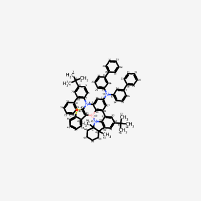 CC(C)(C)c1ccc(N2c3cc(N(c4cccc(-c5ccccc5)c4)c4cccc(-c5ccccc5)c4)cc4c3B(c3c2sc2ccccc32)N2c3c-4cc(C(C)(C)C)cc3C3(C)CCCCC23C)c(-c2ccccc2)c1